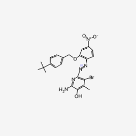 Cc1c(O)c(N)nc(/N=N/c2ccc([N+](=O)[O-])cc2OCc2ccc(C(C)(C)C)cc2)c1Br